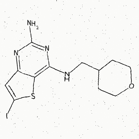 Nc1nc(NCC2CCOCC2)c2sc(I)cc2n1